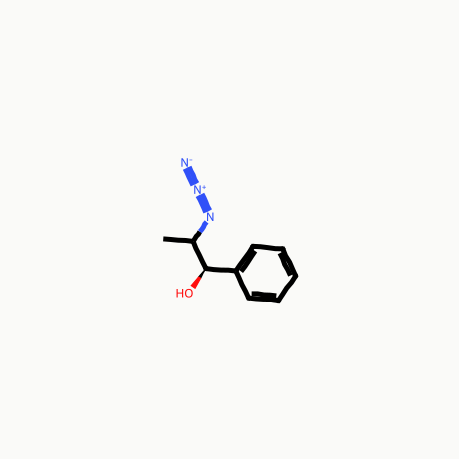 CC(N=[N+]=[N-])[C@H](O)c1ccccc1